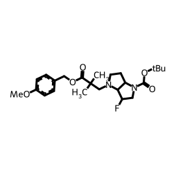 COc1ccc(COC(=O)C(C)(C)CN2CCC3C2C(F)CN3C(=O)OC(C)(C)C)cc1